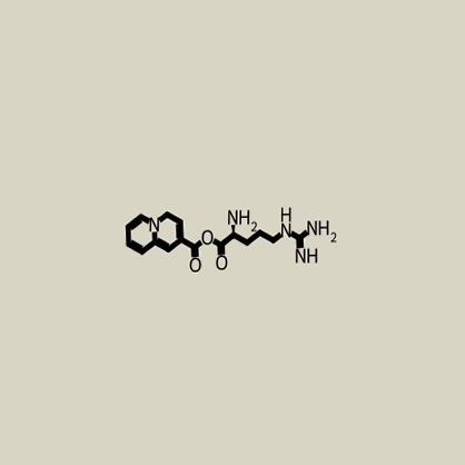 N=C(N)NCCC[C@H](N)C(=O)OC(=O)C1=CCN2C=CC=CC2=C1